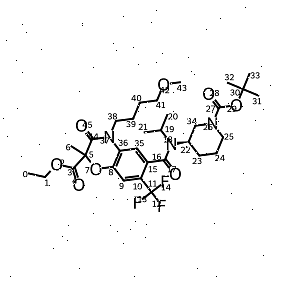 CCOC(=O)C1(C)Oc2cc(C(F)(F)F)c(C(=O)N(C(C)C)[C@@H]3CCCN(C(=O)OC(C)(C)C)C3)cc2N(CCCCOC)C1=O